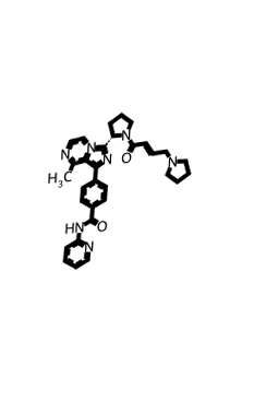 Cc1nccn2c([C@@H]3CCCN3C(=O)/C=C/CN3CCCC3)nc(-c3ccc(C(=O)Nc4ccccn4)cc3)c12